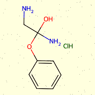 Cl.NCC(N)(O)Oc1ccccc1